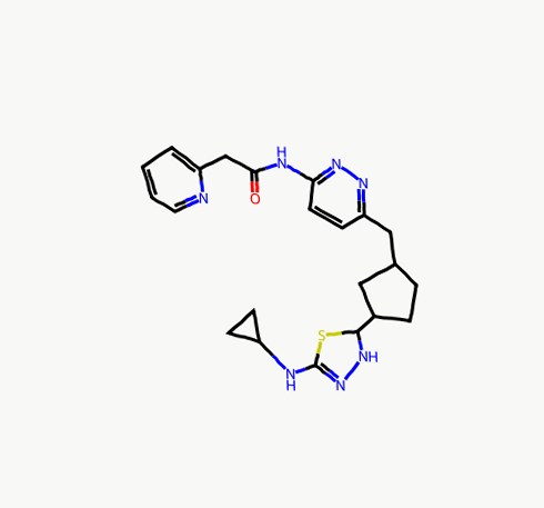 O=C(Cc1ccccn1)Nc1ccc(CC2CCC(C3NN=C(NC4CC4)S3)C2)nn1